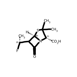 C[C@@H](F)C1C(=O)N2[C@@H]1SC(C)(C)[C@@H]2C(=O)O